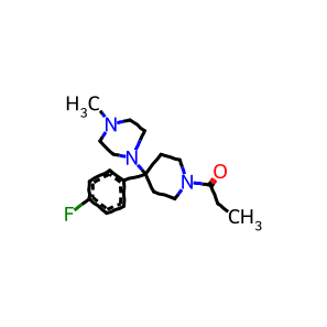 CCC(=O)N1CCC(c2ccc(F)cc2)(N2CCN(C)CC2)CC1